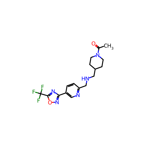 CC(=O)N1CCC(CNCc2ccc(-c3noc(C(F)(F)F)n3)cn2)CC1